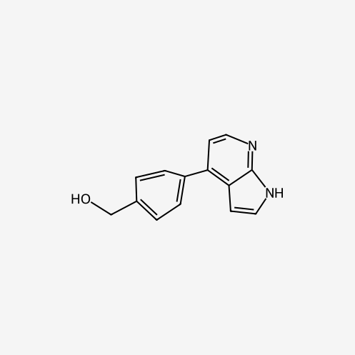 OCc1ccc(-c2ccnc3[nH]ccc23)cc1